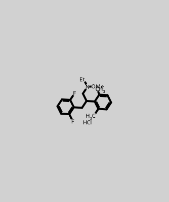 CCN(CC(Cc1c(F)cccc1F)c1c(C)cccc1C)OC.Cl